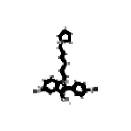 Cc1c(-c2ccc(O)cc2)n(CCCCCCN2CCCC2)c2ccc(O)cc12